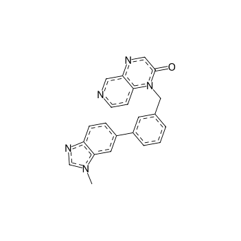 Cn1cnc2ccc(-c3cccc(Cn4c(=O)cnc5cnccc54)c3)cc21